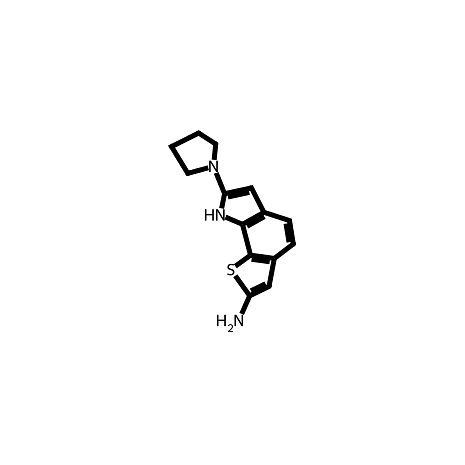 Nc1cc2ccc3cc(N4CCCC4)[nH]c3c2s1